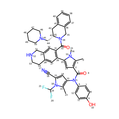 Cc1c(C(=O)N(c2ccc(O)cc2)c2cc(C#N)n(C(F)F)c2C)cc(-c2cc3c(cc2C(=O)N2Cc4ccccc4C[C@H]2CN2CCCCC2)CNCC3)n1C